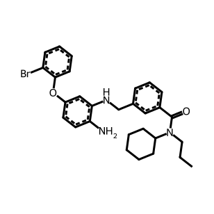 CCCN(C(=O)c1cccc(CNc2cc(Oc3ccccc3Br)ccc2N)c1)C1CCCCC1